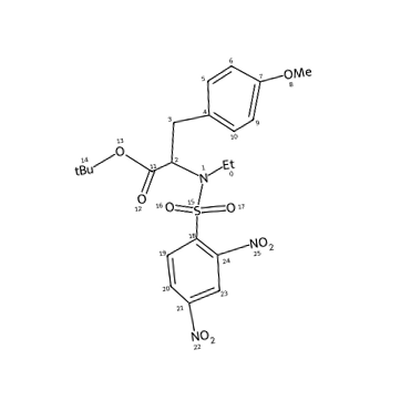 CCN(C(Cc1ccc(OC)cc1)C(=O)OC(C)(C)C)S(=O)(=O)c1ccc([N+](=O)[O-])cc1[N+](=O)[O-]